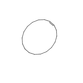 C1=CCCCCCCCCCCCCCCCC1